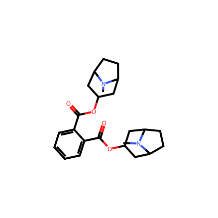 CN1C2CCC1CC(OC(=O)c1ccccc1C(=O)OC1CC3CCC(C1)N3C)C2